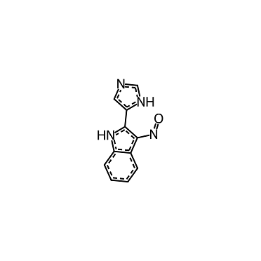 O=Nc1c(-c2cnc[nH]2)[nH]c2ccccc12